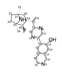 C=C(c1cnc(-c2cc3ccncc3cc2O)cn1)[C@H]1C[C@]2(C)CC[C@@](C)(N2)[C@@H]1F